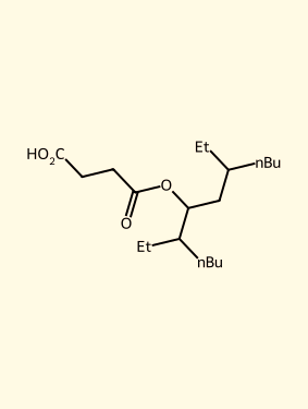 CCCCC(CC)CC(OC(=O)CCC(=O)O)C(CC)CCCC